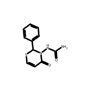 NC(=O)NN1C(=O)C=CSC1c1ccccc1